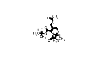 CSC12SCC(COC(C)=O)=C(C(=O)OC(C)(C)C)N1C(=O)[C@@H]2N